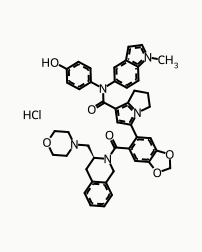 Cl.Cn1ccc2cc(N(C(=O)c3cc(-c4cc5c(cc4C(=O)N4Cc6ccccc6C[C@H]4CN4CCOCC4)OCO5)n4c3CCC4)c3ccc(O)cc3)ccc21